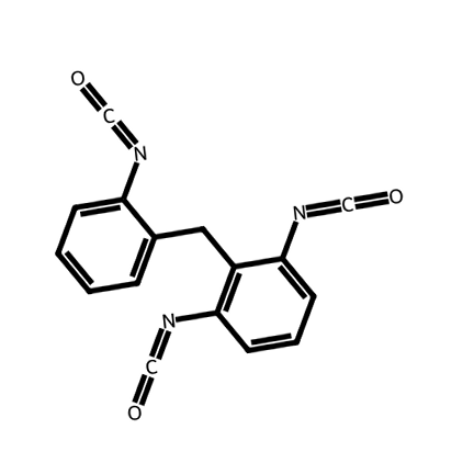 O=C=Nc1ccccc1Cc1c(N=C=O)cccc1N=C=O